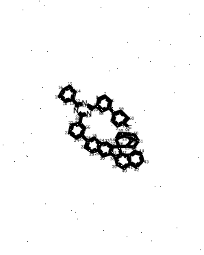 Fc1ccc(-c2cccc(-c3nc(-c4ccccc4)nc(-c4cccc(-c5ccc6cc7c(cc6c5)C5(c6c-7ccc7ccccc67)C6CC7CC(C6)CC5C7)c4)n3)c2)cc1